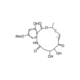 COc1cc(O)c2c(c1)NC(=O)CC(O)C(O)C(=O)/C=C/CC(C)OC2=O